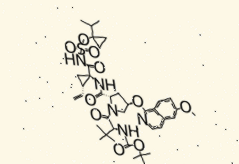 C=C[C@@H]1C[C@]1(NC(=O)[C@@H]1C[C@@H](Oc2nccc3cc(OC)ccc23)CN1C(=O)[C@@H](NC(=O)OC(C)(C)C)C(C)(C)C)C(=O)NS(=O)(=O)OC1(C(C)C)CC1